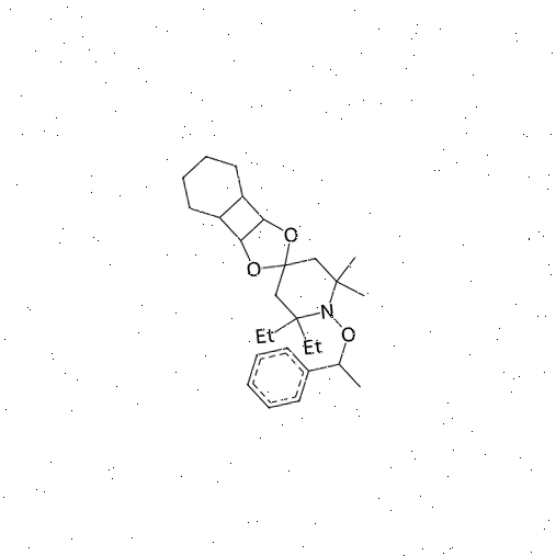 CCC1(CC)CC2(CC(C)(C)N1OC(C)c1ccccc1)OC1C3CCCCC3C1O2